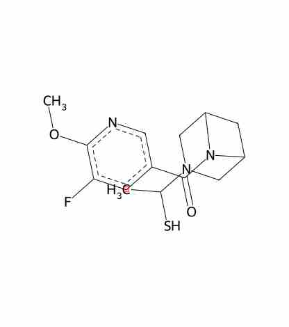 COc1ncc(C(=O)N2C3CC2CN(C(C)S)C3)cc1F